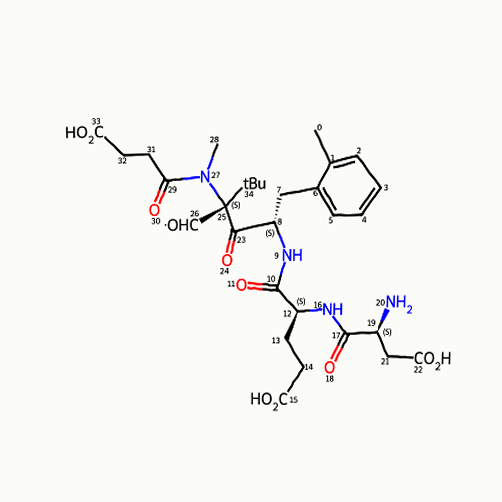 Cc1ccccc1C[C@H](NC(=O)[C@H](CCC(=O)O)NC(=O)[C@@H](N)CC(=O)O)C(=O)[C@]([C]=O)(N(C)C(=O)CCC(=O)O)C(C)(C)C